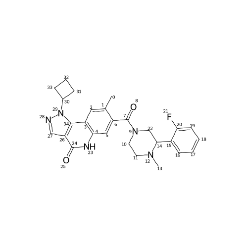 Cc1cc2c(cc1C(=O)N1CCN(C)C(c3ccccc3F)C1)[nH]c(=O)c1cnn(C3CCC3)c12